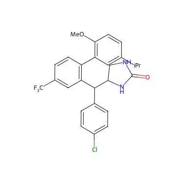 COc1ccc(C(C)C)cc1-c1ccc(C(F)(F)F)cc1C(c1ccc(Cl)cc1)C1CNC(=O)N1